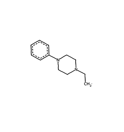 [CH2]CN1CCN(c2ccccc2)CC1